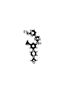 CCOc1nccc(-n2cnc(Nc3cc(C4CC4)cc(N4CCN(C5COC5)CC4)c3)n2)n1